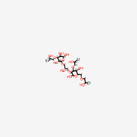 CCC(O)COCC1OC(O)C(OCC(O)COC2OC(O)C(O)C(OCC(O)CC)C2O)C(OCC(O)CC)C1O